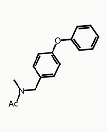 CC(=O)N(C)Cc1ccc(Oc2ccccc2)cc1